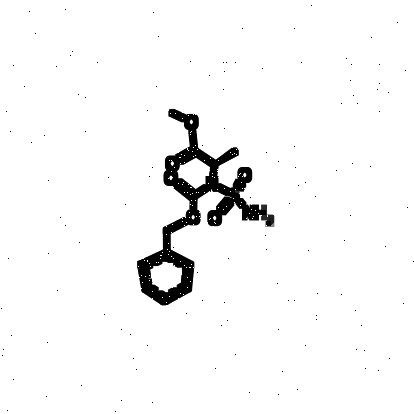 COC(=O)[C@@H](C)N(C(=O)OCc1ccccc1)S(N)(=O)=O